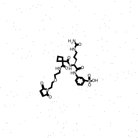 NC(=O)NCCC[C@H](NC(=O)C1(C(=O)NCCOCCN2C(=O)C=CC2=O)CCC1)C(=O)Nc1cccc(S(=O)(=O)O)c1